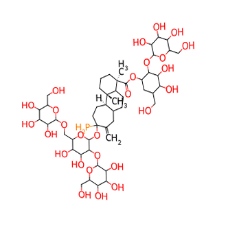 C=C1CC2CCC3[C@](C)(C(=O)OC4CC(CO)C(O)C(O)C4OC4OC(CO)C(O)C(O)C4O)CCC[C@@]3(C)[C@@H]2CCC1(P)OC1OC(COC2OC(CO)C(O)C(O)C2O)C(O)C(O)C1OC1OC(CO)C(O)C(O)C1O